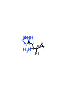 CCC(C(N)Cc1nnn[nH]1)C1CC1